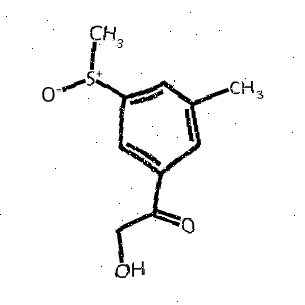 Cc1cc(C(=O)CO)cc([S+](C)[O-])c1